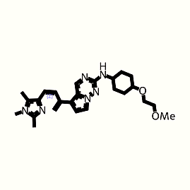 C=C(/C=C\c1nc(C)n(C)c1C)c1ccn2nc(NC3CCC(OCCOC)CC3)ncc12